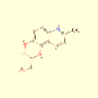 Cc1ccc2c3c(ccc2n1)OCC(CO)O3